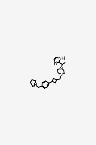 CC(c1ncc[nH]1)N1CCN(CC2CC(c3ccc(CN4CCCC4)cc3)C2)CC1